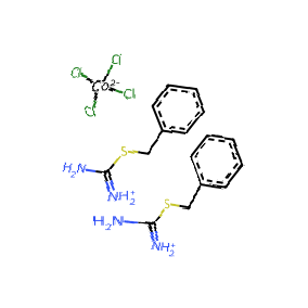 NC(=[NH2+])SCc1ccccc1.NC(=[NH2+])SCc1ccccc1.[Cl][Co-2]([Cl])([Cl])[Cl]